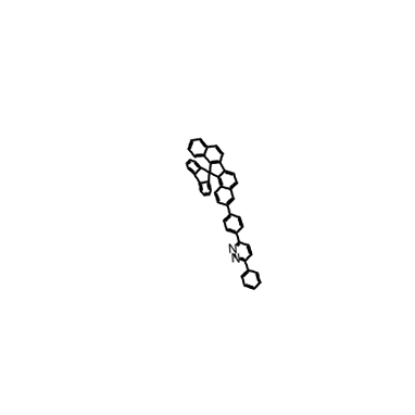 c1ccc(-c2ccc(-c3ccc(-c4ccc5c6c(ccc5c4)-c4ccc5ccccc5c4C64c5ccccc5-c5ccccc54)cc3)nn2)cc1